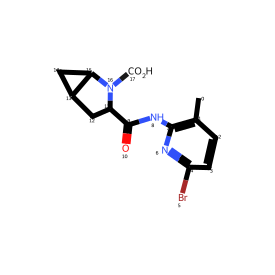 Cc1ccc(Br)nc1NC(=O)C1CC2CC2N1C(=O)O